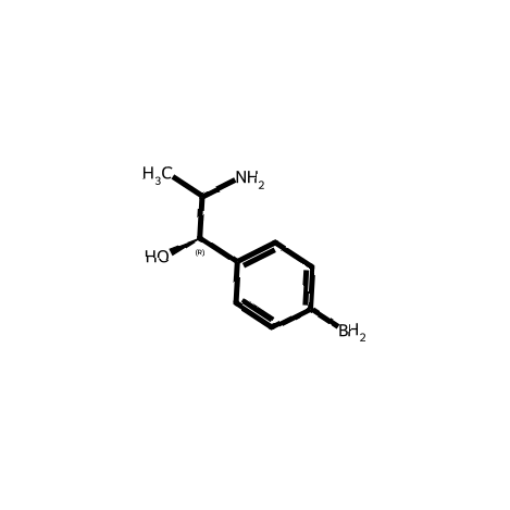 Bc1ccc([C@@H](O)C(C)N)cc1